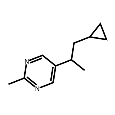 Cc1ncc(C(C)CC2CC2)cn1